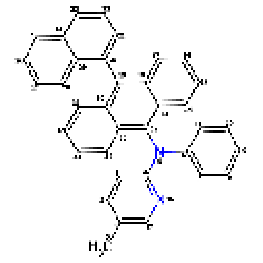 Cc1ccc(N(c2ccccc2)c2c3ccccc3c(-c3cccc4ccccc34)c3ccccc23)nc1